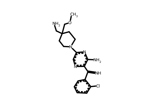 COCC1(CN)CCN(c2cnc(C(=N)c3ccccc3Cl)c(N)n2)CC1